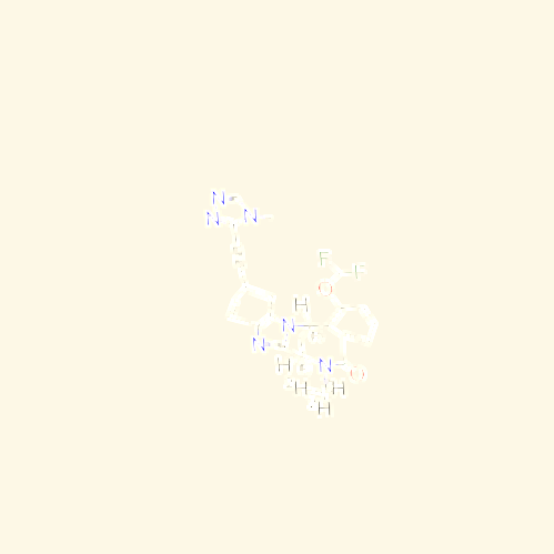 [2H]C([2H])([2H])N1C(=O)c2cccc(OC(F)F)c2[C@H]2C[C@@H]1c1nc3ccc(C#Cc4nncn4C)cc3n12